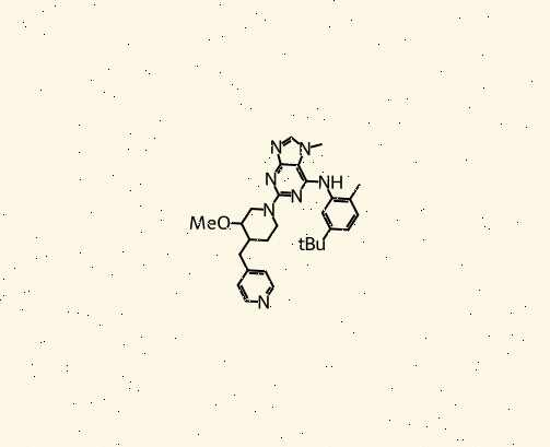 COC1CN(c2nc(Nc3cc(C(C)(C)C)ccc3C)c3c(ncn3C)n2)CCC1Cc1ccncc1